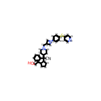 N#CC(c1ccccc1)(C1CCN(CC2CN(c3ccc(Sc4ccncc4)cc3)C2)CC1)C1CCCC1CCO